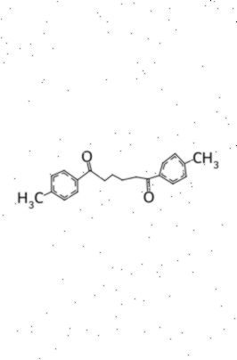 Cc1ccc(C(=O)CCCCC(=O)c2ccc(C)cc2)cc1